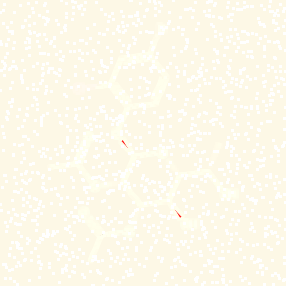 CC(=O)O[C@@H]1[C@@H](Oc2ccc(Br)cc2Cl)O[C@H]([C@H](C)O)[C@@H](O)[C@@H]1OC(C)=O